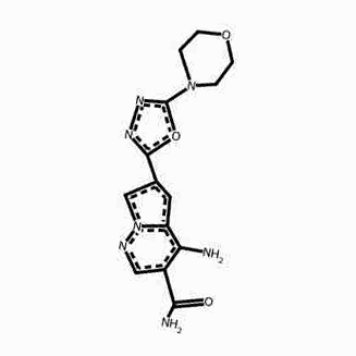 NC(=O)c1cnn2cc(-c3nnc(N4CCOCC4)o3)cc2c1N